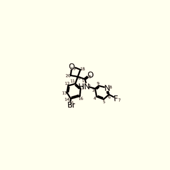 O=C(Nc1ccc(F)nc1)C1(c2ccc(Br)cc2)COC1